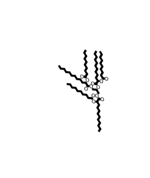 CCCCCCCCCCC(OC(=O)CCCCCCCCC)C(=O)OCC(COC(=O)C(CCCCCCCCCC)OC(=O)CCCCCCCCC)OC(=O)C(CCCCCCCCCC)OC(=O)CCCCCCCCC